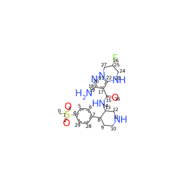 CS(=O)(=O)c1ccc(C2CCNCC2NC(=O)c2c(N)nn3c2NCC(F)C3)cc1